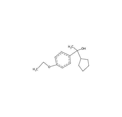 CCOc1ccc(C(C)(O)C2CCCC2)cc1